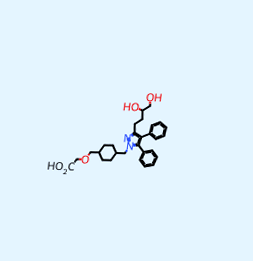 O=C(O)COCC1CCC(Cn2nc(CCC(O)CO)c(-c3ccccc3)c2-c2ccccc2)CC1